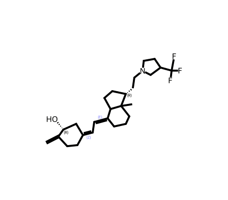 C=C1CC/C(=C/C=C2\CCCC3(C)C2CC[C@@H]3CCN2CCC(C(F)(F)F)C2)C[C@H]1O